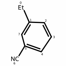 [CH2]Cc1cccc(C#N)c1